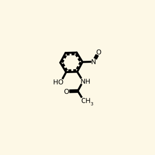 CC(=O)Nc1c(O)cccc1N=O